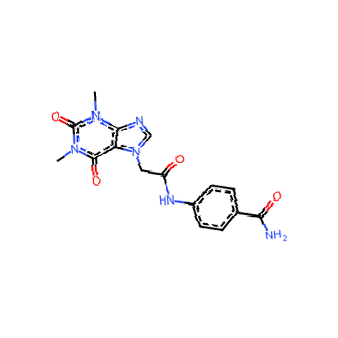 Cn1c(=O)c2c(ncn2CC(=O)Nc2ccc(C(N)=O)cc2)n(C)c1=O